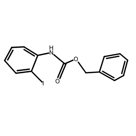 O=C(Nc1ccccc1I)OCc1ccccc1